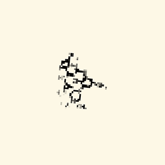 C[C@@H]1CN(c2cc(N)cc(Nc3nc(NC4CC4)c4ncc(N)n4n3)c2Cl)C[C@H](C)N1C